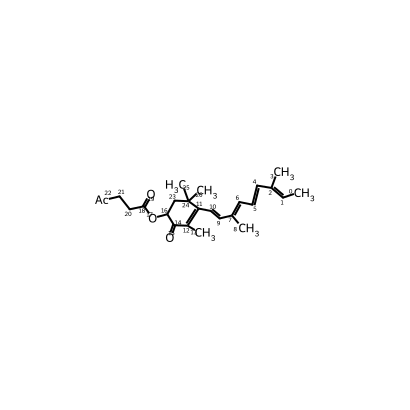 CC=C(C)C=CC=C(C)/C=C/C1=C(C)C(=O)C(OC(=O)CCC(C)=O)CC1(C)C